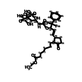 CCOC(=O)CCCCCCN1C(=O)CC[C@@H]1/C=C/[C@@H](OC(=O)NCCC(O)(P(=O)(O)O)P(=O)(O)O)C(F)(F)c1ccccc1